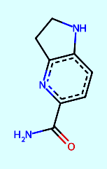 NC(=O)c1ccc2c(n1)CCN2